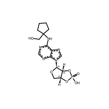 O=P1(O)O[C@H]2[C@H](n3cnc4c(NC5(CO)CCCC5)ncnc43)OC[C@H]2O1